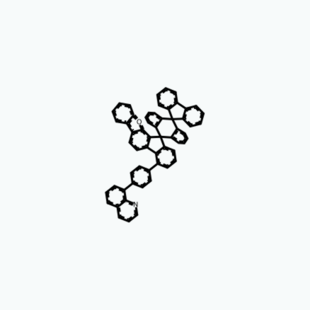 c1ccc2c(c1)-c1ccccc1C21c2ccccc2C2(c3ccccc31)c1cccc(-c3ccc(-c4cccc5cccnc45)cc3)c1-c1ccc3c(oc4ccccc43)c12